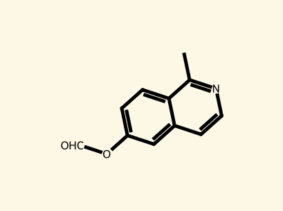 Cc1nccc2cc(OC=O)ccc12